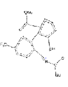 COC(=O)c1cccc(S)c1-c1cc(C(F)(F)F)ccc1/C=N/[S+]([O-])C(C)(C)C